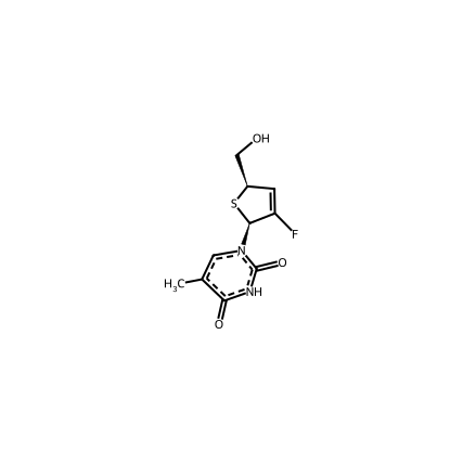 Cc1cn([C@H]2S[C@@H](CO)C=C2F)c(=O)[nH]c1=O